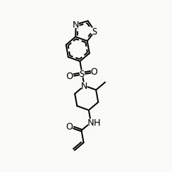 C=CC(=O)NC1CCN(S(=O)(=O)c2ccc3ncsc3c2)C(C)C1